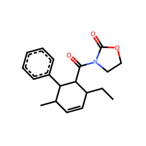 CCC1C=CC(C)C(c2ccccc2)C1C(=O)N1CCOC1=O